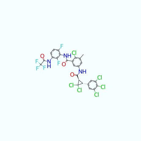 Cc1cc(NC(=O)[C@H]2[C@H](c3cc(Cl)c(Cl)c(Cl)c3)C2(Cl)Cl)cc(C(=O)Nc2c(F)ccc(NC(=O)C(F)(F)F)c2F)c1Cl